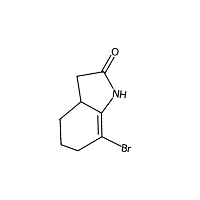 O=C1CC2CCCC(Br)=C2N1